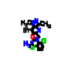 Cc1nn(C)c2c(C(C)C)cc(CN(C(N)=O)c3c(Cl)cccc3Cl)nc12